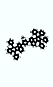 c1ccc(-c2c(-c3ccccc3)c(-c3ccccc3)c3c(c2-c2ccccc2)-c2cccc4c(-c5ccc(-c6ccc7c8c(cccc68)-c6c-7c(-c7ccccc7)c7ccccc7c6-c6ccccc6)c6nsnc56)ccc-3c24)cc1